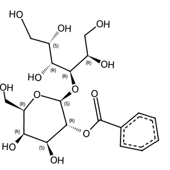 O=C(O[C@H]1[C@H](O[C@@H]([C@H](O)[C@@H](O)CO)[C@H](O)CO)O[C@H](CO)[C@H](O)[C@@H]1O)c1ccccc1